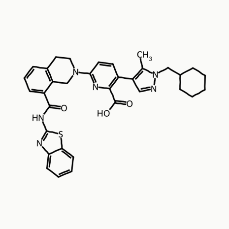 Cc1c(-c2ccc(N3CCc4cccc(C(=O)Nc5nc6ccccc6s5)c4C3)nc2C(=O)O)cnn1CC1CCCCC1